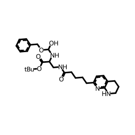 CC(C)(C)OC(=O)C(CNC(=O)CCCCc1ccc2c(n1)NCCC2)NC(O)OCc1ccccc1